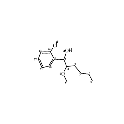 CCCCC(OC)C(O)c1ccccc1Cl